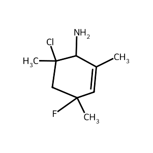 CC1=CC(C)(F)CC(C)(Cl)C1N